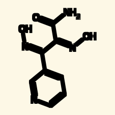 NC(=O)C(=NO)C(=NO)c1cccnc1